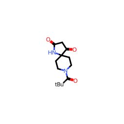 CC(C)(C)C(=O)N1CCC2(CC1)NC(=O)CC2=O